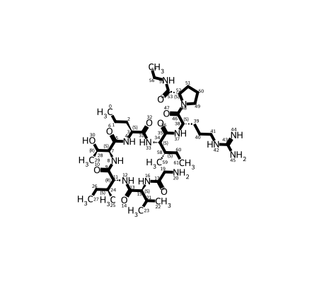 CCC[C@H](NC(=O)[C@@H](NC(=O)[C@H](NC(=O)[C@@H](NC(=O)CN)C(C)C)[C@@H](C)CC)[C@@H](C)O)C(=O)N[C@H](C(=O)N[C@@H](CCCNC(=N)N)C(=O)N1CCC[C@H]1C(=O)NCC)[C@@H](C)CC